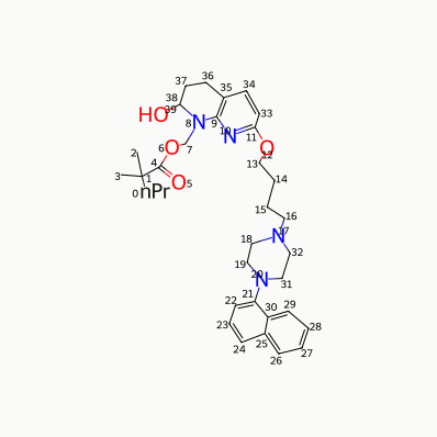 CCCC(C)(C)C(=O)OCN1c2nc(OCCCCN3CCN(c4cccc5ccccc45)CC3)ccc2CCC1O